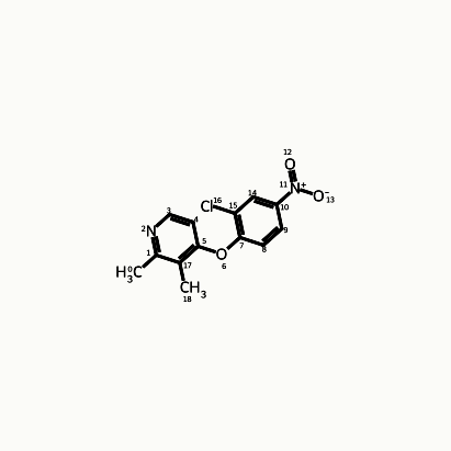 Cc1nccc(Oc2ccc([N+](=O)[O-])cc2Cl)c1C